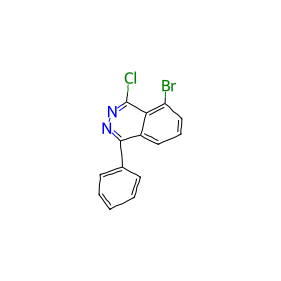 Clc1nnc(-c2ccccc2)c2cccc(Br)c12